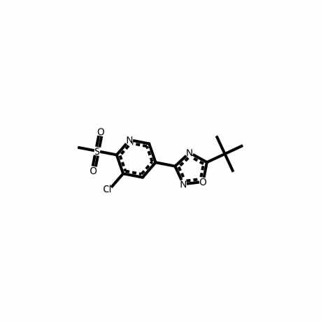 CC(C)(C)c1nc(-c2cnc(S(C)(=O)=O)c(Cl)c2)no1